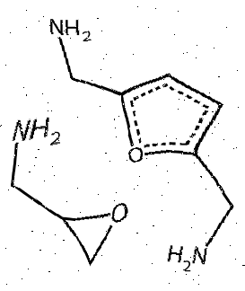 NCC1CO1.NCc1ccc(CN)o1